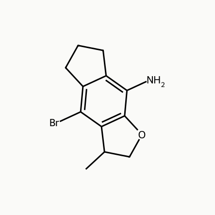 CC1COc2c(N)c3c(c(Br)c21)CCC3